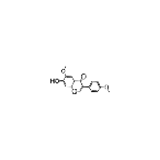 COC1=CC2C(=O)C(c3ccc(OC)cc3)=COC2C=C1O